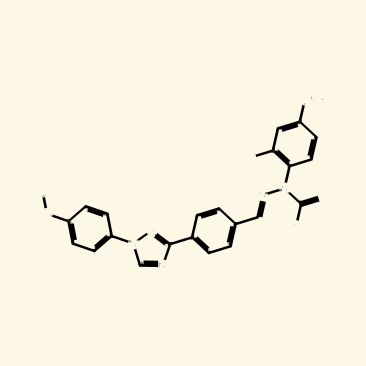 COc1ccc(N(/N=C/c2ccc(-c3ncn(-c4ccc(OC(F)(F)F)cc4)n3)cc2)C(N)=S)c(C)c1